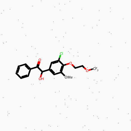 COc1cc(C(O)C(=O)c2ccccc2)cc(Cl)c1OCCOC(F)(F)F